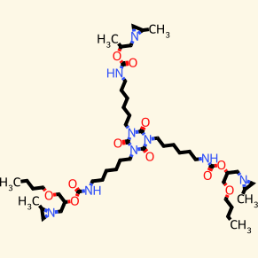 CCCCOCC(CN1CC1C)OC(=O)NCCCCCCn1c(=O)n(CCCCCCNC(=O)OC(C)CN2CC2C)c(=O)n(CCCCCCNC(=O)OC(COCCCC)CN2CC2C)c1=O